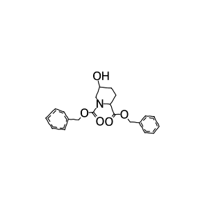 O=C(OCc1ccccc1)C1CCC(O)CN1C(=O)OCc1ccccc1